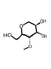 CO[C@@H]1C(CO)OC[C@@H](O)C1O